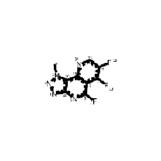 Cn1nnc2nc(F)c3c(F)c(F)cnc3c21